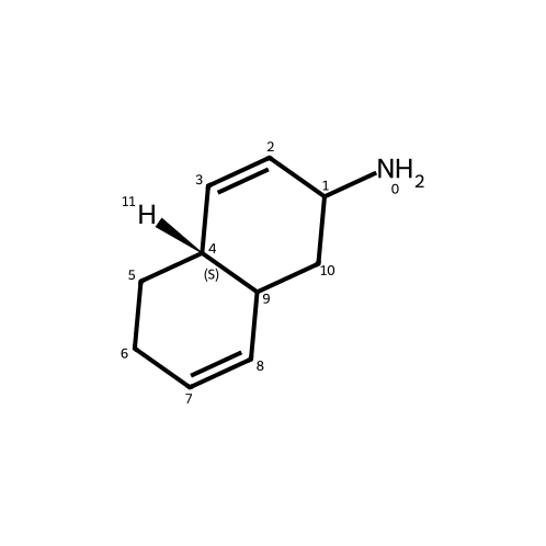 NC1C=C[C@H]2CCC=CC2C1